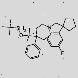 CC(C)(C)[SiH2]OC(C)(C)C1(c2ccccc2)CCN(CC2(c3cccc(F)c3)CCCC2)CC1